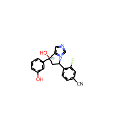 N#Cc1ccc(C2C[C@](O)(c3cccc(O)c3)c3cncn32)c(F)c1